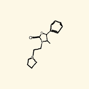 CC1C(c2ccccc2)OC(=O)N1CCN1CCCC1